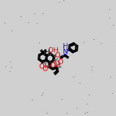 C=C[C@@]1(C)CC(=O)[C@]2(O)[C@@]3(C)[C@@H](O)CCC(C)(C)[C@@H]3[C@H](O)[C@H](OC(=O)C(C)Nc3ccccc3)[C@@]2(C)O1